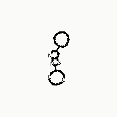 c1ccccc(-c2cnc3nc(-c4ccccccccc4)sc3c2)cccc1